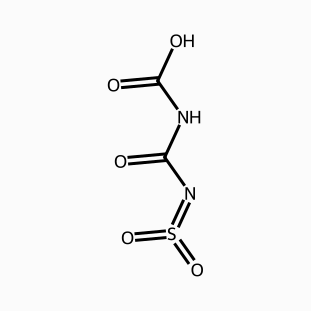 O=C(O)NC(=O)N=S(=O)=O